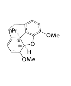 CCC[C@@]12C3=CC=C(OC)[C@@H]1Oc1c(OC)ccc(c12)CC3